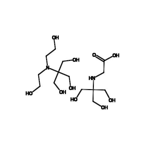 O=C(O)CNC(CO)(CO)CO.OCCN(CCO)C(CO)(CO)CO